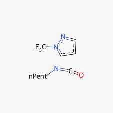 CCCCCN=C=O.FC(F)(F)n1cccn1